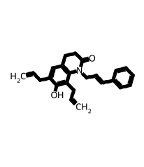 C=CCc1cc2c(c(CC=C)c1O)N(C/C=C/c1ccccc1)C(=O)CC2